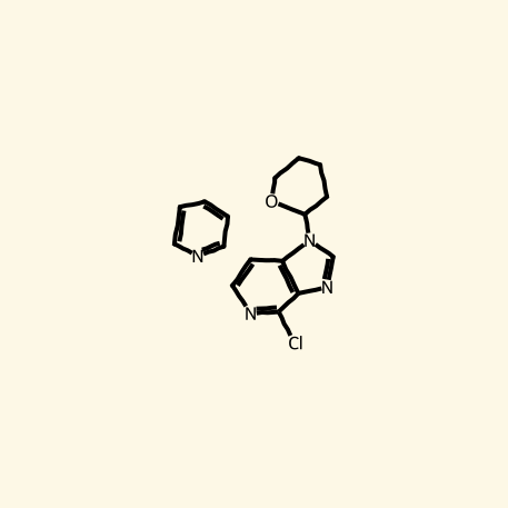 Clc1nccc2c1ncn2C1CCCCO1.c1ccncc1